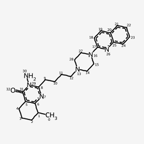 CC1CCCc2c1nc(CCCCN1CCN(c3ccc4ccccc4n3)CC1)n(N)c2=O